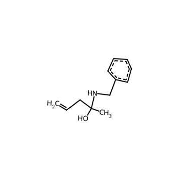 C=CCC(C)(O)NCc1ccccc1